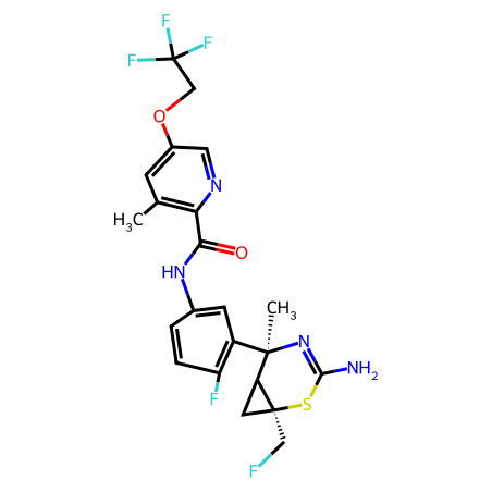 Cc1cc(OCC(F)(F)F)cnc1C(=O)Nc1ccc(F)c([C@@]2(C)N=C(N)S[C@@]3(CF)CC32)c1